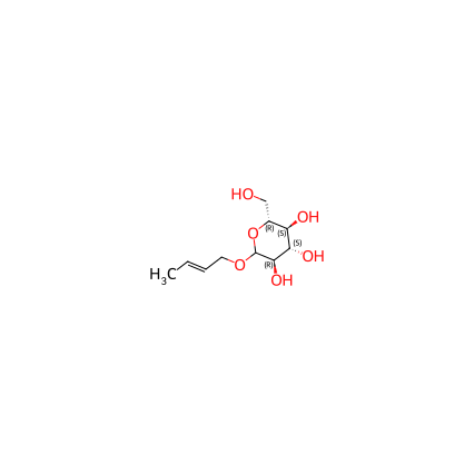 CC=CCOC1O[C@H](CO)[C@@H](O)[C@H](O)[C@H]1O